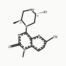 CC[C@@H]1CN(c2nc(=O)n(C)c3ccc(C#N)nc23)[C@@H](C)CN1